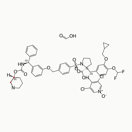 O=C(N[C@@H](c1ccccc1)c1cccc(OCc2ccc(S(=O)(=O)N3CCC[C@@]3(C(=O)O)[C@@H](Cc3c(Cl)c[n+]([O-])cc3Cl)c3ccc(OC(F)F)c(OCC4CC4)c3)cc2)c1)O[C@H]1CN2CCC1CC2.O=CO